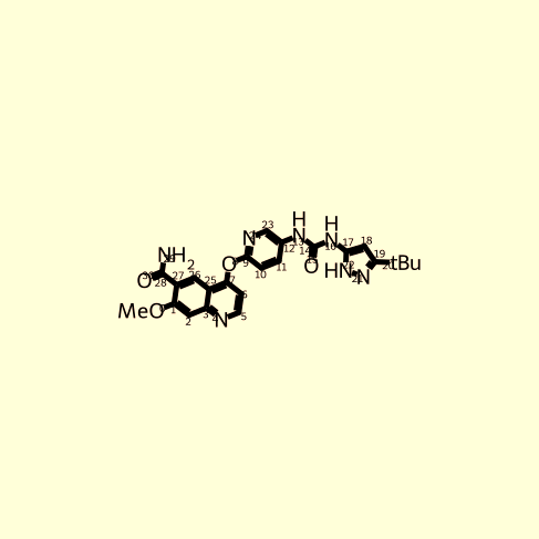 COc1cc2nccc(Oc3ccc(NC(=O)Nc4cc(C(C)(C)C)n[nH]4)cn3)c2cc1C(N)=O